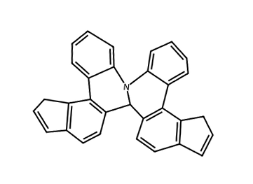 C1=Cc2ccc3c(c2C1)-c1ccccc1N1c2ccccc2-c2c(ccc4c2CC=C4)C31